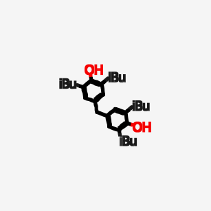 CCC(C)c1cc(Cc2cc(C(C)CC)c(O)c(C(C)CC)c2)cc(C(C)CC)c1O